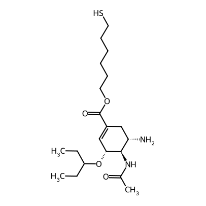 CCC(CC)O[C@@H]1C=C(C(=O)OCCCCCCS)C[C@H](N)[C@H]1NC(C)=O